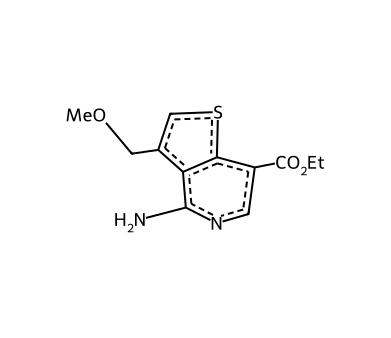 CCOC(=O)c1cnc(N)c2c(COC)csc12